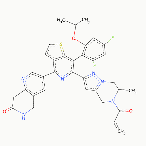 C=CC(=O)N1Cc2cc(-c3nc(-c4cnc5c(c4)CNC(=O)C5)c4ccsc4c3-c3c(F)cc(F)cc3OC(C)C)nn2CC1C